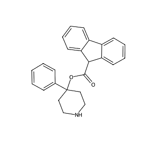 O=C(OC1(c2ccccc2)CCNCC1)C1c2ccccc2-c2ccccc21